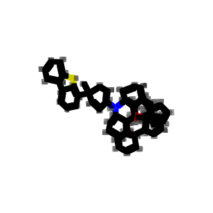 CC1(c2cccc3c2sc2ccccc23)C=CC(N(c2ccccc2-c2cccc3cccc(-c4ccccc4)c23)c2cccc3c2oc2ccccc23)=CC1